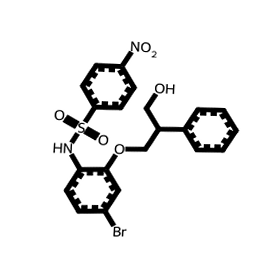 O=[N+]([O-])c1ccc(S(=O)(=O)Nc2ccc(Br)cc2OCC(CO)c2ccccc2)cc1